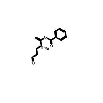 C=C(OC(=O)c1ccccc1)[C@H](Br)CCC=O